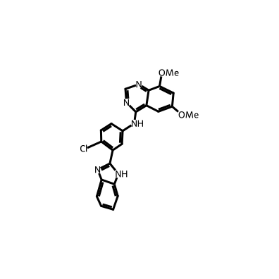 COc1cc(OC)c2ncnc(Nc3ccc(Cl)c(-c4nc5ccccc5[nH]4)c3)c2c1